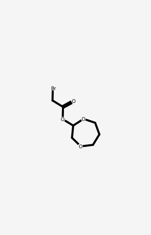 O=C(CBr)OC1COCCCO1